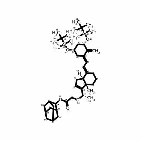 C=C1C(=CC=C2CCC[C@]3(C)C([C@H](C)OCC(=O)OC4C5CC6CC(C5)CC4C6)=CC[C@@H]23)C[C@@H](O[Si](C)(C)C(C)(C)C)C[C@@H]1O[Si](C)(C)C(C)(C)C